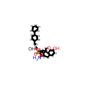 NC1CCC23COc4c(O)ccc(c42)CC1C3(CCC=O)OS(=O)OCCCc1ccc(-c2ccccc2)cc1